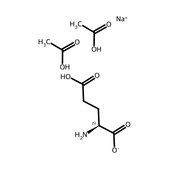 CC(=O)O.CC(=O)O.N[C@@H](CCC(=O)O)C(=O)[O-].[Na+]